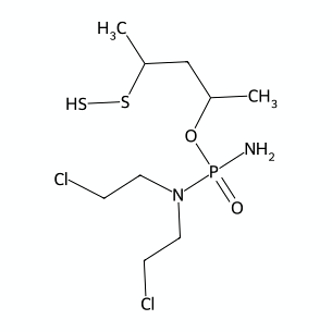 CC(CC(C)SS)OP(N)(=O)N(CCCl)CCCl